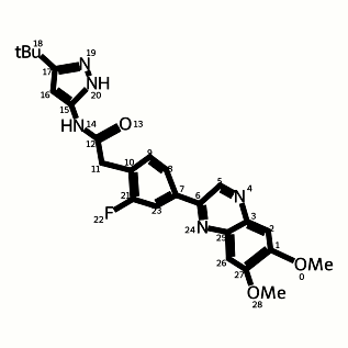 COc1cc2ncc(-c3ccc(CC(=O)Nc4cc(C(C)(C)C)n[nH]4)c(F)c3)nc2cc1OC